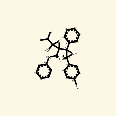 CC(C)C1(O)OC1(C(=O)Nc1ccccc1)C1(c2ccccc2)OC1(O)c1ccc(F)cc1